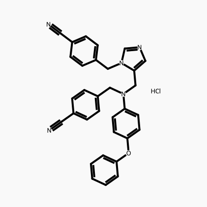 Cl.N#Cc1ccc(CN(Cc2cncn2Cc2ccc(C#N)cc2)c2ccc(Oc3ccccc3)cc2)cc1